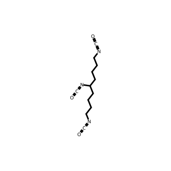 O=C=NCCCCC(CCCCN=C=O)N=C=O